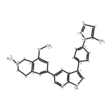 COc1cc(-c2cnc3[nH]cc(-c4ccc(-n5nncc5C)cc4)c3c2)cc2c1CN(C)CC2